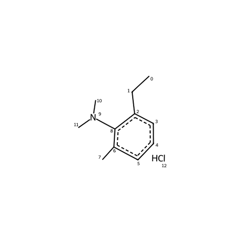 CCc1cccc(C)c1N(C)C.Cl